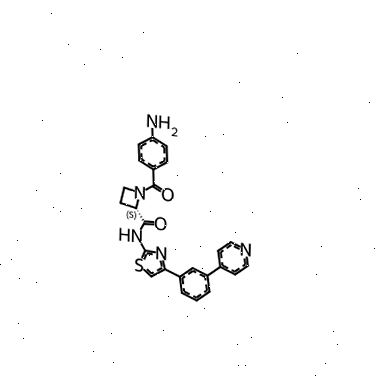 Nc1ccc(C(=O)N2CC[C@H]2C(=O)Nc2nc(-c3cccc(-c4ccncc4)c3)cs2)cc1